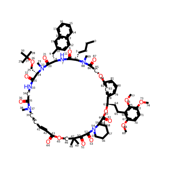 CCCC[C@H]1C(=O)N[C@@H](Cc2ccc3ccccc3c2)C(=O)N(C)[C@@H](COC(C)(C)C)C(=O)NCC(=O)N(C)CC/C=C/C(=O)OCC(C)(C)C(=O)C(=O)N2CCCC[C@H]2C(=O)O[C@H](CCc2c(OC)ccc(OC)c2OC)c2cccc(c2)OCC(=O)N1C